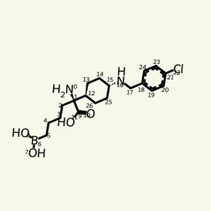 N[C@](CCCCB(O)O)(C(=O)O)[C@H]1CC[C@H](NCc2ccc(Cl)cc2)CC1